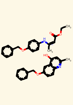 CCOC(=O)/C=C(/C)Nc1ccc(OCc2ccccc2)cc1.Cc1cc(O)c2cc(OCc3ccccc3)ccc2n1